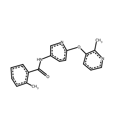 Cc1ccccc1C(=O)Nc1ccc(Oc2cccnc2C)nc1